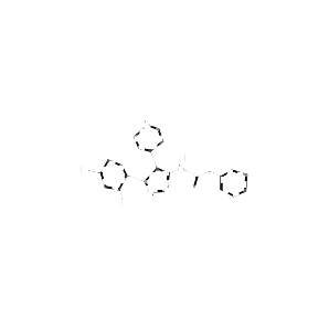 O=C(Cc1ccccc1)Nc1onc(-c2ccc(F)cc2F)c1-c1ccncc1